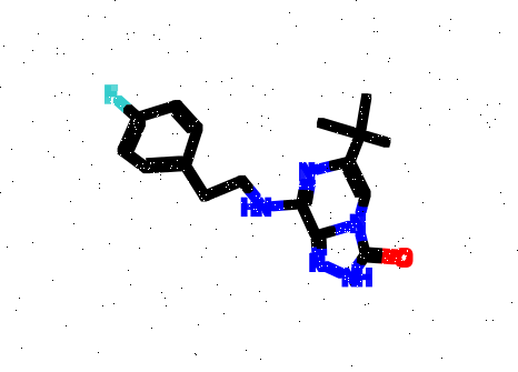 CC(C)(C)c1cn2c(=O)[nH]nc2c(NCCc2ccc(F)cc2)n1